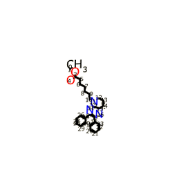 CCOC(=O)CCCCCCN1C[C][C]c2nc(-c3ccccc3)c(-c3ccccc3)nc21